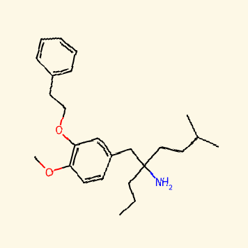 CCCC(N)(CCC(C)C)Cc1ccc(OC)c(OCCc2ccccc2)c1